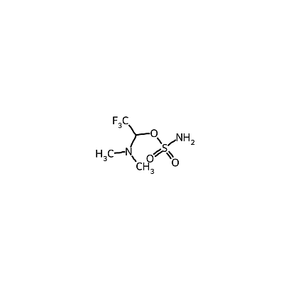 CN(C)C(OS(N)(=O)=O)C(F)(F)F